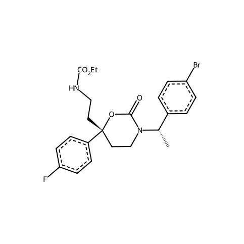 CCOC(=O)NCC[C@]1(c2ccc(F)cc2)CCN([C@@H](C)c2ccc(Br)cc2)C(=O)O1